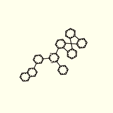 c1ccc(-c2cc(-c3cccc4c3-c3ccccc3C43c4ccccc4-c4ccccc43)nc(-c3cccc(-c4ccc5ccccc5c4)c3)n2)cc1